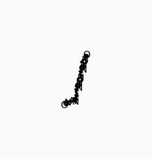 CC1CN(C2COC2)CCN1c1ccc(C(C)(C)CCN2CCN(c3ccc(C(C)(C)CCC(C)(C)c4cnn(CCN5CCOCC5)c4)nc3)CC2)nc1